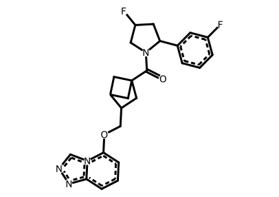 O=C(N1CC(F)CC1c1cccc(F)c1)C12CC(COc3cccc4nncn34)C(C1)C2